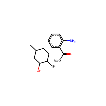 CC1CCC(C(C)C)C(O)C1.COC(=O)c1ccccc1N